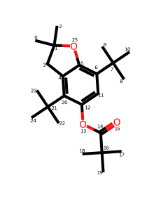 CC1(C)Cc2c(c(C(C)(C)C)cc(OC(=O)C(C)(C)C)c2C(C)(C)C)O1